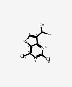 FC(F)c1csc2c(Cl)nc(Cl)nc12